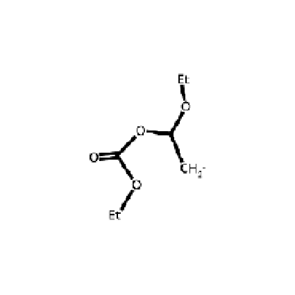 [CH2]C(OCC)OC(=O)OCC